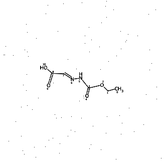 CCOC(=O)NN=CC(=O)O